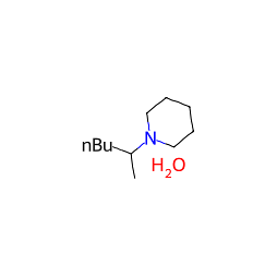 CCCCC(C)N1CCCCC1.O